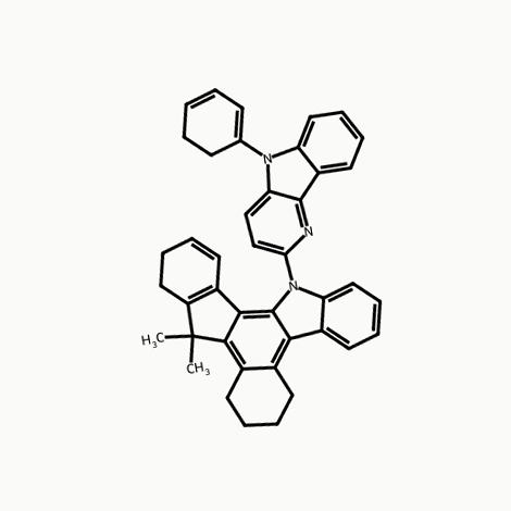 CC1(C)C2=C(C=CCC2)c2c1c1c(c3c4ccccc4n(-c4ccc5c(n4)c4ccccc4n5C4=CC=CCC4)c23)CCCC1